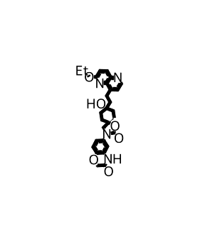 CCOc1ccc2nccc(CC[C@]3(O)CC[C@@]4(CC3)CN(c3ccc5c(c3)NC(=O)CO5)C(=O)O4)c2n1